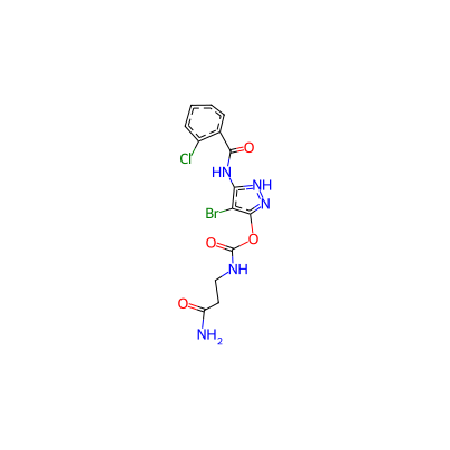 NC(=O)CCNC(=O)Oc1n[nH]c(NC(=O)c2ccccc2Cl)c1Br